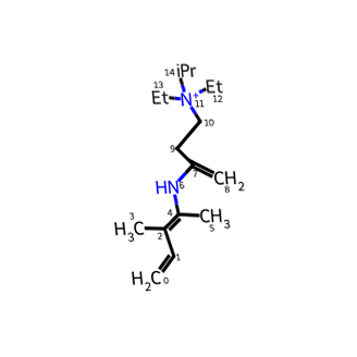 C=C/C(C)=C(\C)NC(=C)CC[N+](CC)(CC)C(C)C